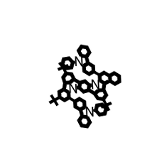 CC(C)(C)c1cc(-c2ccc3c(c2)c2ccccc2n3-c2ccccc2)c2c(c1)c1cc(C(C)(C)C)cc3c4cc5c(cc4n2c31)c1cc(C(C)(C)C)cc2c3c4ccccc4cc(-c4ccc6c(c4)c4ccccc4n6-c4ccccc4)c3n5c12